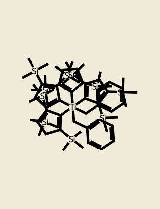 C[Si](C)(C)C1=CCC([Si](C)(C)C)=[C]1[Ti]([CH2]c1ccccc1)([CH2]c1ccccc1)([C]1=C([Si](C)(C)C)CC=C1[Si](C)(C)C)([C]1=C([Si](C)(C)C)CC([Si](C)(C)C)=C1[Si](C)(C)C)[C]1=C([Si](C)(C)C)CC([Si](C)(C)C)=C1[Si](C)(C)C